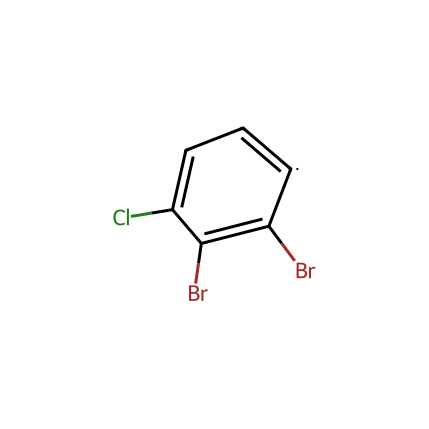 Clc1cc[c]c(Br)c1Br